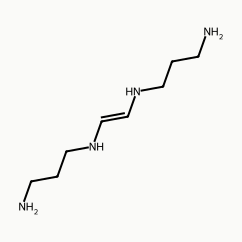 NCCCN/C=C/NCCCN